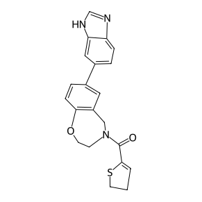 O=C(C1=CCCS1)N1CCOc2ccc(-c3ccc4nc[nH]c4c3)cc2C1